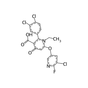 CCn1c(Oc2cnc(F)c(Cl)c2)cc(=O)c(C(=O)O)c1-c1ccc(Cl)c(Cl)c1